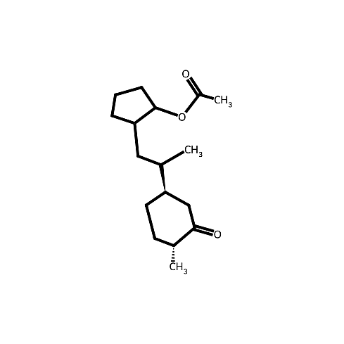 CC(=O)OC1CCCC1CC(C)[C@@H]1CC[C@@H](C)C(=O)C1